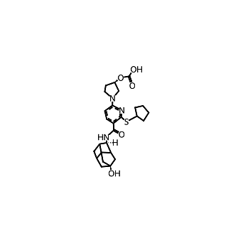 O=C(O)O[C@@H]1CCN(c2ccc(C(=O)N[C@H]3C4CC5CC3C[C@@](O)(C5)C4)c(SC3CCCC3)n2)C1